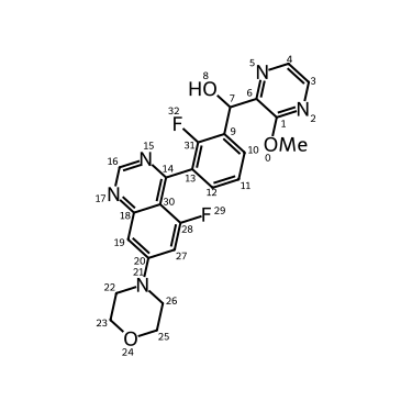 COc1nccnc1C(O)c1cccc(-c2ncnc3cc(N4CCOCC4)cc(F)c23)c1F